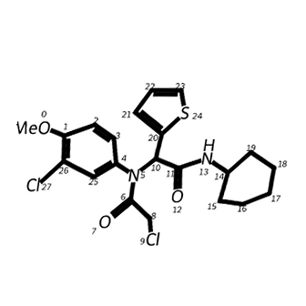 COc1ccc(N(C(=O)CCl)C(C(=O)NC2CCCCC2)c2cccs2)cc1Cl